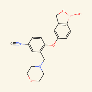 [C-]#[N+]c1ccc(Oc2ccc3c(c2)COB3O)c(CN2CCOCC2)c1